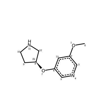 COc1cncc(O[C@H]2CCNC2)c1